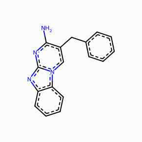 Nc1nc2nc3ccccc3n2cc1Cc1ccccc1